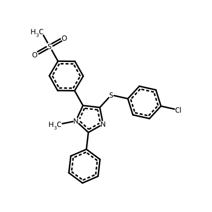 Cn1c(-c2ccccc2)nc(Sc2ccc(Cl)cc2)c1-c1ccc(S(C)(=O)=O)cc1